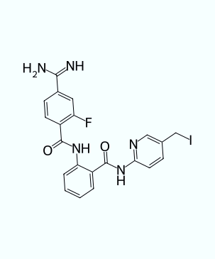 N=C(N)c1ccc(C(=O)Nc2ccccc2C(=O)Nc2ccc(CI)cn2)c(F)c1